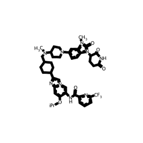 CC(C)Oc1cc2nc(C3CCC(CN(C)C4CCN(c5ccc6c(c5)n(C)c(=O)n6C5CCC(=O)NC5=O)CC4)CC3)cn2cc1NC(=O)c1cccc(C(F)(F)F)n1